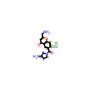 Cl.Cl.NCc1cc(=O)c2cc(C(=O)N3CCC(N)C3)ccc2o1